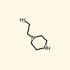 SCCN1CCNCC1